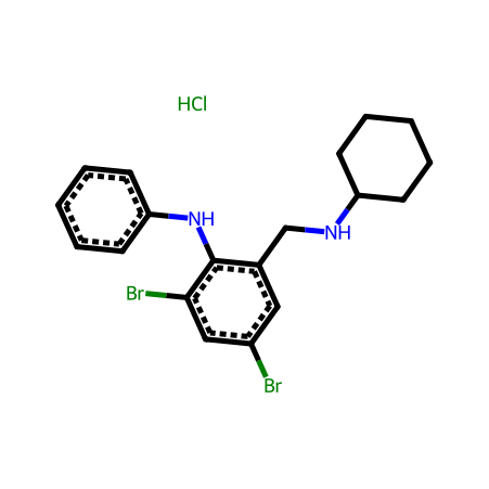 Brc1cc(Br)c(Nc2ccccc2)c(CNC2CCCCC2)c1.Cl